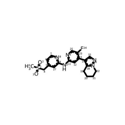 CS(=O)(=O)Cc1ccnc(Nc2cc(-c3cnn4c3CCCC4)c(F)cn2)c1